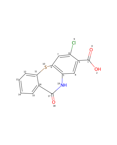 O=C(O)c1cc2c(cc1Cl)Sc1ccccc1C(=O)N2